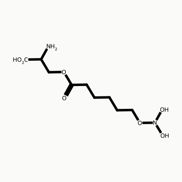 NC(COC(=O)CCCCCON(O)O)C(=O)O